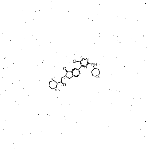 C[C@@H]1CCC[C@H](C)N1C(=O)CN1Cc2ccc(-c3nc(NC4CCOCC4)ncc3Cl)cc2C1=O